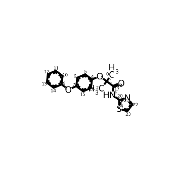 CC(C)(Oc1ccc(Oc2ccccc2)cc1)C(=O)Nc1nccs1